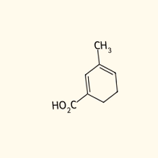 CC1=CCCC(C(=O)O)=C1